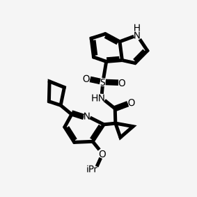 CC(C)Oc1ccc(C2CCC2)nc1C1(C(=O)NS(=O)(=O)c2cccc3[nH]ccc23)CC1